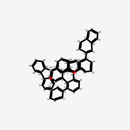 c1ccc(-c2ccccc2-c2c(-c3ccccc3)cccc2N(c2cccc(-c3ccc4ccccc4c3)c2)c2cccc(-n3c4ccccc4c4ccccc43)c2)cc1